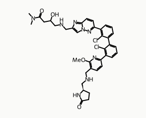 COc1nc(-c2cccc(-c3cccc(-c4ccc5nc(CNCC(O)CC(=O)N(C)C)cn5n4)c3Cl)c2Cl)ccc1CNC[C@H]1CCC(=O)N1